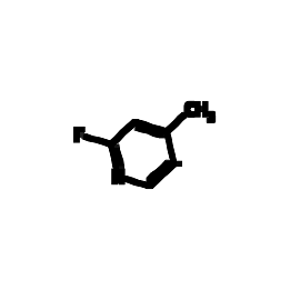 Cc1[c]cnc(F)c1